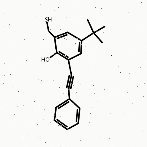 CC(C)(C)c1cc(C#Cc2ccccc2)c(O)c(CS)c1